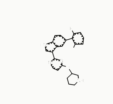 Fc1cccc(F)c1-c1ccc2[nH]cc(-c3nccc(OC4CCCNC4)n3)c2c1